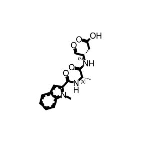 C[C@H](NC(=O)c1cc2ccccc2n1C)C(=O)N[C@H](C=O)CC(=O)O